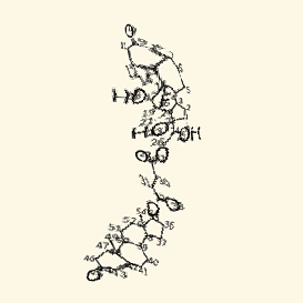 C[C@H]1CC2C3CCC4=CC(=O)C=C[C@]4(C)[C@@]3(F)[C@@H](O)C[C@]2(C)[C@@]1(O)C(O)COC(=O)CCC(=O)O[C@H]1CCC2C3CCC4=CC(=O)CC[C@]4(C)C3CC[C@@]21C